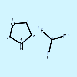 C1COCN1.FC(F)F